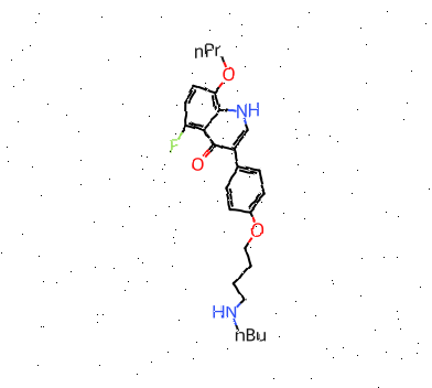 CCCCNCCCCOc1ccc(-c2c[nH]c3c(OCCC)ccc(F)c3c2=O)cc1